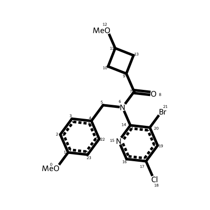 COc1ccc(CN(C(=O)C2CC(OC)C2)c2ncc(Cl)cc2Br)cc1